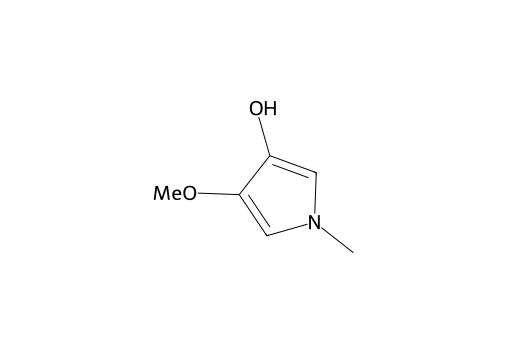 COc1cn(C)cc1O